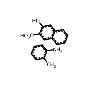 Cc1ccccc1N.O=C(O)c1cc2ccccc2cc1O